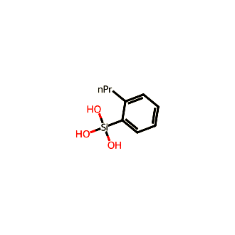 CCCc1ccccc1[Si](O)(O)O